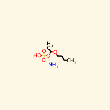 CCCCOC(C)OS(=O)(=O)O.N